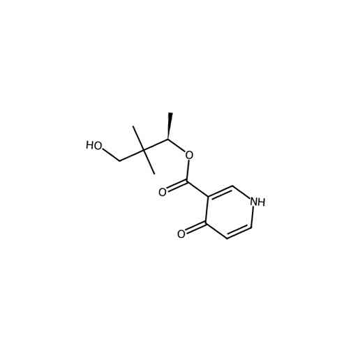 C[C@@H](OC(=O)c1c[nH]ccc1=O)C(C)(C)CO